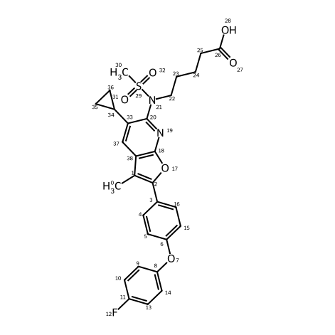 Cc1c(-c2ccc(Oc3ccc(F)cc3)cc2)oc2nc(N(CCCCC(=O)O)S(C)(=O)=O)c(C3CC3)cc12